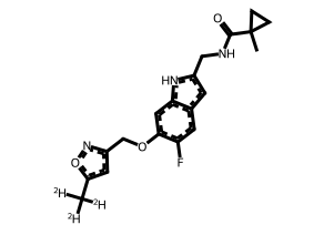 [2H]C([2H])([2H])c1cc(COc2cc3[nH]c(CNC(=O)C4(C)CC4)cc3cc2F)no1